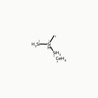 C[SiH]([SiH3])[SiH3].[GeH4]